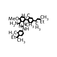 CC/C(C)=C\C(C)c1cc(C)c(-c2ccc(OC)c3c(N)nc(NC4=CC(C)/C(=C(/C)CC)C=C4)nc23)c(C)c1